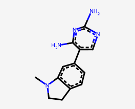 CN1CCc2ccc(-c3cnc(N)nc3N)cc21